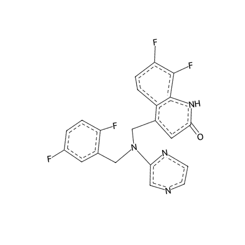 O=c1cc(CN(Cc2cc(F)ccc2F)c2cnccn2)c2ccc(F)c(F)c2[nH]1